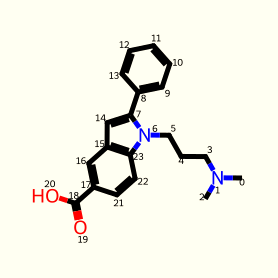 CN(C)CCCn1c(-c2ccccc2)cc2cc(C(=O)O)ccc21